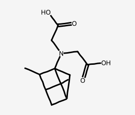 CC1C2CC3CC1(N(CC(=O)O)CC(=O)O)C32C